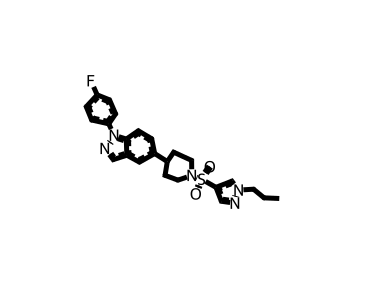 CCCn1cc(S(=O)(=O)N2CCC(c3ccc4c(cnn4-c4ccc(F)cc4)c3)CC2)cn1